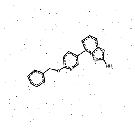 Nc1nc2cccc(-c3ccc(OCc4ccccc4)nc3)n2n1